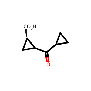 O=C(C1CC1)C1C[C@H]1C(=O)O